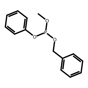 COP(OCc1ccccc1)Oc1ccccc1